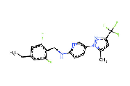 CCc1cc(F)c(CNc2ccc(-n3nc(C(F)(F)F)cc3C)cn2)c(F)c1